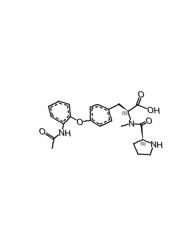 CC(=O)Nc1ccccc1Oc1ccc(C[C@@H](C(=O)O)N(C)C(=O)[C@@H]2CCCN2)cc1